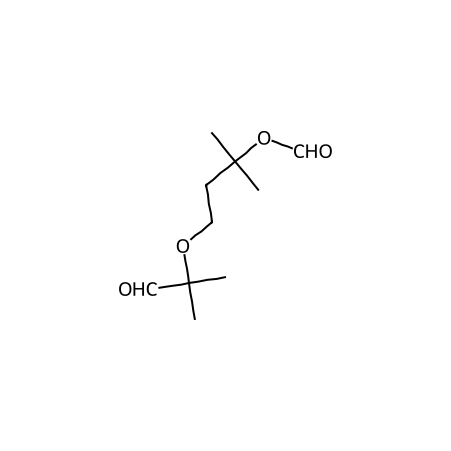 CC(C)(C=O)OCCC(C)(C)OC=O